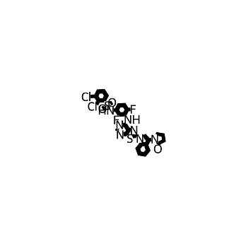 O=C1CCCN1c1cn(-c2nc3c(Nc4c(F)ccc(NS(=O)(=O)c5cccc(Cl)c5Cl)c4F)ncnc3s2)c2ccccc12